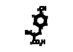 N#Cc1ccc(CC(Br)C(=O)O)cc1